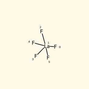 [F][La]([F])([F])([F])[F]